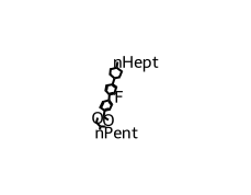 CCCCCCCC1CCC(c2ccc(-c3ccc(C4OCC(CCCCC)CO4)cc3)c(F)c2)CC1